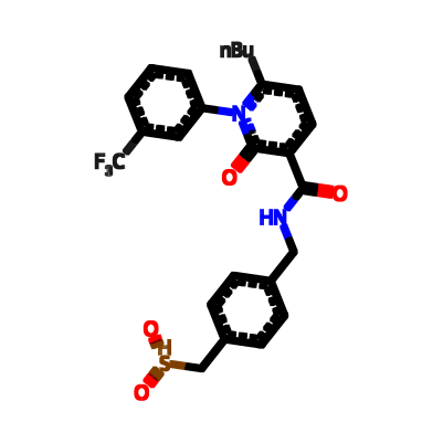 CCCCc1ccc(C(=O)NCc2ccc(C[SH](=O)=O)cc2)c(=O)n1-c1cccc(C(F)(F)F)c1